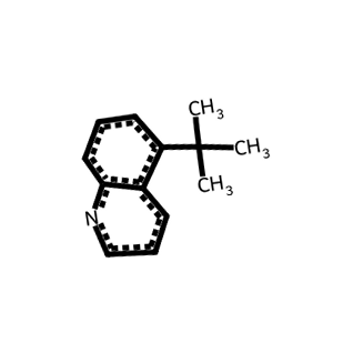 CC(C)(C)c1cccc2ncccc12